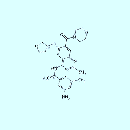 Cc1cc(N)cc([C@@H](C)Nc2nc(C)nc3cc(C(=O)N4CCOCC4)c(O[C@H]4CCOC4)cc23)c1